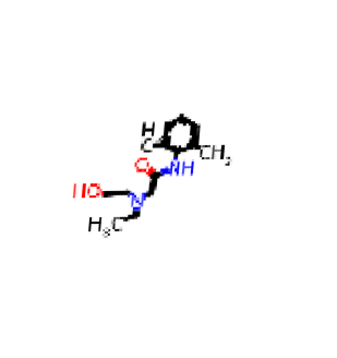 CCN(CCO)CC(=O)Nc1c(C)cccc1C